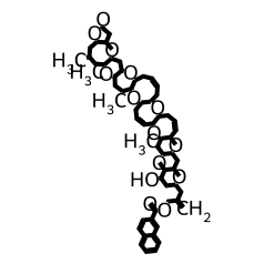 C=C(COC(=O)c1ccc2ccccc2c1)CC1CC(O)C2OC3CC4(C)OC5/C=C\CC6OC7C(C)CC8OC9(C)CC(C)CC%10OC(=O)CC%10OC9CC8OC7C/C=C\CC6OC5C/C=C\C4OC3CC2O1